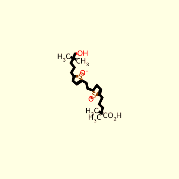 CC(C)(CO)CCCC1CC=C(CCC2CC=C(CCCC(C)(C)C(=O)O)[S+]2[O-])[S+]1[O-]